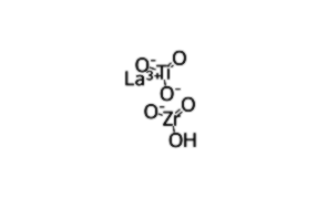 [La+3].[O]=[Ti]([O-])[O-].[O]=[Zr]([O-])[OH]